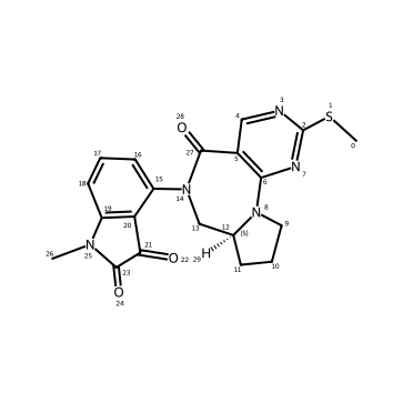 CSc1ncc2c(n1)N1CCC[C@H]1CN(c1cccc3c1C(=O)C(=O)N3C)C2=O